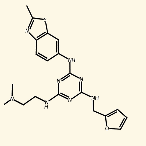 Cc1nc2ccc(Nc3nc(NCCN(C)C)nc(NCc4ccco4)n3)cc2s1